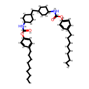 CCCCCCCCCc1ccc(OC(=O)NC2CCC(CC3CCC(NC(=O)Oc4ccc(CCCCCCCCC)cc4)CC3)CC2)cc1